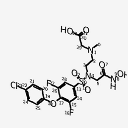 CN(CCN(CC(=O)NO)S(=O)(=O)c1cc(F)c(Oc2ccc(Cl)cc2)c(F)c1)CC(=O)O